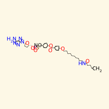 C=CCCC(=O)NCCCCCCCCCCOc1ccc(C(=O)Oc2ccc(CSP(=O)(N=O)OC[C@@H]3CC[C@H](n4cnc5c(N)ncnc54)O3)cc2)cc1